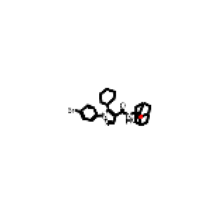 O=C(NC12CC3CC(C1)C(O)C(C3)C2)c1cnn(-c2ccc(Br)cc2)c1C1CCCCC1